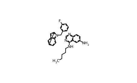 CCCCCNc1ncnc2ccc(N)cc12.Fc1cccc(Cn2c3cc4cc-3ccc42)c1